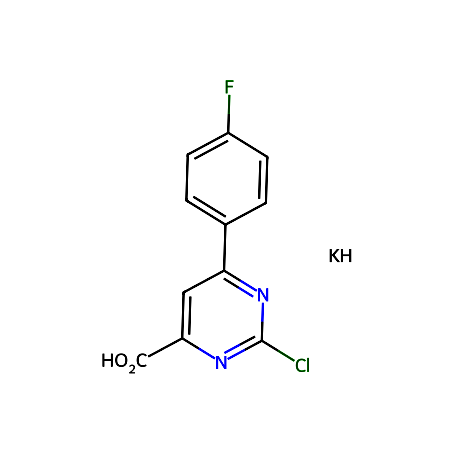 O=C(O)c1cc(-c2ccc(F)cc2)nc(Cl)n1.[KH]